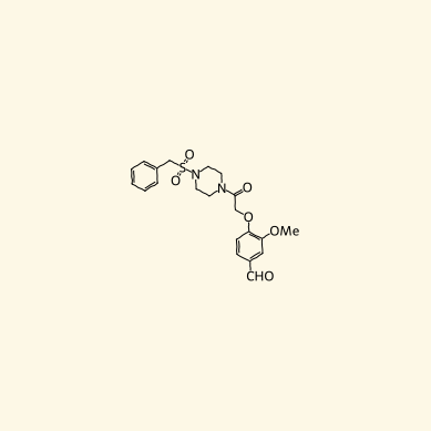 COc1cc(C=O)ccc1OCC(=O)N1CCN(S(=O)(=O)Cc2ccccc2)CC1